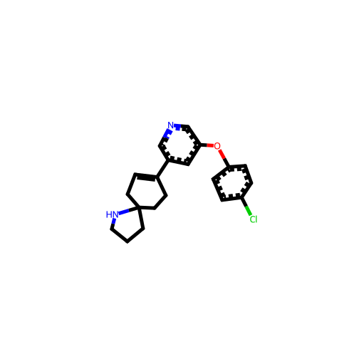 Clc1ccc(Oc2cncc(C3=CCC4(CCCN4)CC3)c2)cc1